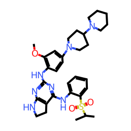 COc1cc(N2CCC(N3CCCCC3)CC2)ccc1Nc1nc2c(c(Nc3ccccc3S(=O)(=O)C(C)C)n1)CCN2